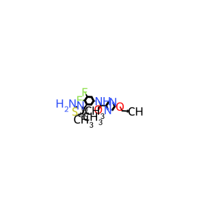 C#CCOc1cnc(C(=O)Nc2cc(F)c(F)c([C@@]3(C)N=C(N)SC(C)[C@H]3C)c2)cn1